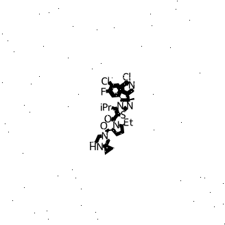 CC[C@@H]1CC[C@@H](C(=O)N2C[C@@H](C)NC3(CC3)C2)N1C(=O)C1=C(C(C)C)N2C(=N[C@@](C)(c3ccc(Cl)nc3)[C@H]2c2ccc(Cl)c(F)c2)S1